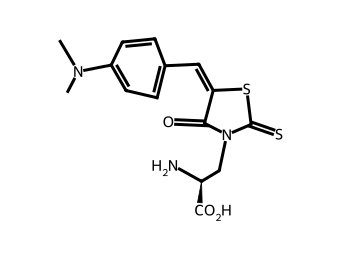 CN(C)c1ccc(/C=C2/SC(=S)N(C[C@H](N)C(=O)O)C2=O)cc1